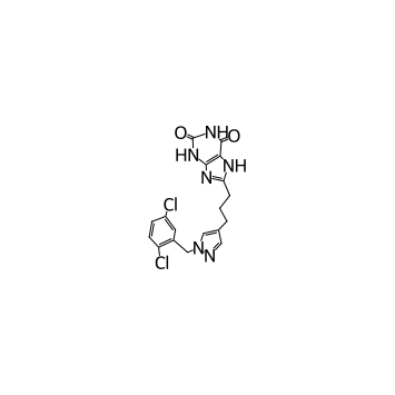 O=c1[nH]c(=O)c2[nH]c(CCCc3cnn(Cc4cc(Cl)ccc4Cl)c3)nc2[nH]1